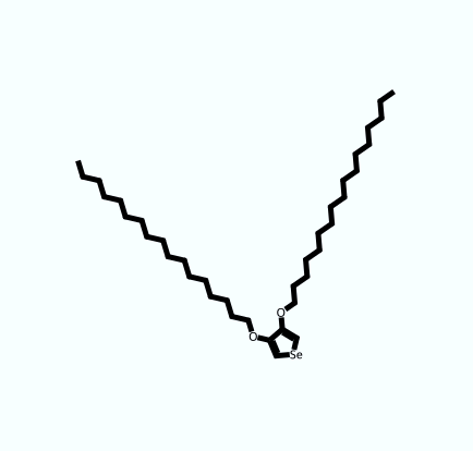 CCCCCCCCCCCCCCCCCOc1c[se]cc1OCCCCCCCCCCCCCCCCC